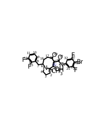 CC12CCCN1C(Cc1cccc(F)c1F)CCC(=O)/C(C(=O)Nc1cc(F)c(Br)c(F)c1)=C\2O